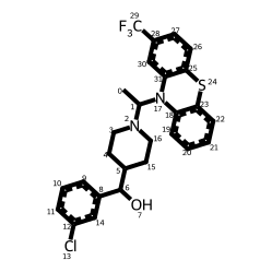 CC(N1CCC(C(O)c2cccc(Cl)c2)CC1)N1c2ccccc2Sc2ccc(C(F)(F)F)cc21